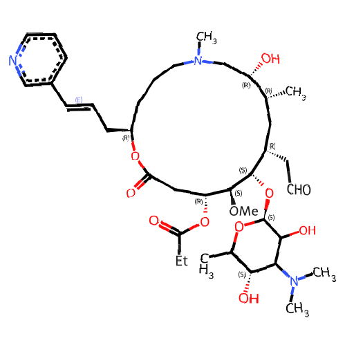 CCC(=O)O[C@@H]1CC(=O)O[C@@H](C/C=C/c2cccnc2)CCCN(C)C[C@H](O)[C@H](C)C[C@H](CC=O)[C@H](O[C@@H]2OC(C)[C@@H](O)C(N(C)C)C2O)[C@H]1OC